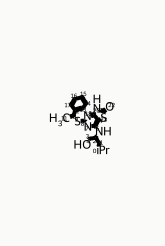 CC(C)CC(CO)Nc1nc(SC(C)c2ccccc2)nc2[nH]c(=O)sc12